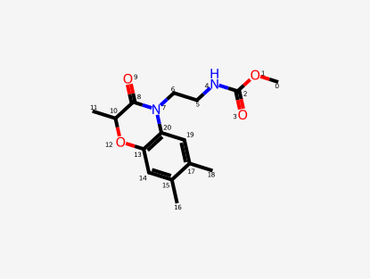 COC(=O)NCCN1C(=O)C(C)Oc2cc(C)c(C)cc21